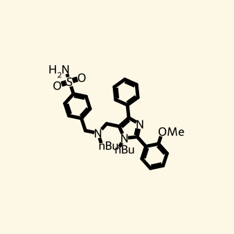 CCCCN(Cc1ccc(S(N)(=O)=O)cc1)Cc1c(-c2ccccc2)nc(-c2ccccc2OC)n1CCCC